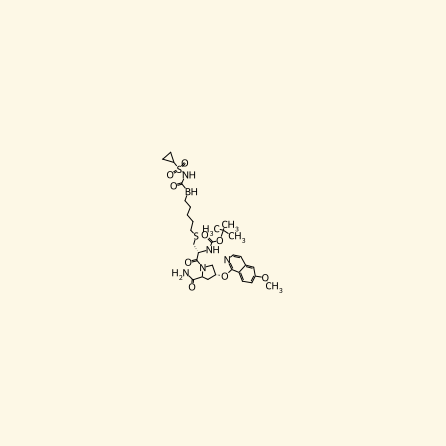 COc1ccc2c(O[C@@H]3CC(C(N)=O)N(C(=O)[C@H](CSCCCCCBC(=O)NS(=O)(=O)C4CC4)NC(=O)OC(C)(C)C)C3)nccc2c1